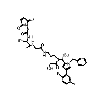 CC(C)C(NC(=O)CN1C(=O)C=CC1=O)C(=O)NCC(=O)NCCCN(C(=O)CO)[C@@H](c1cc(-c2cc(F)ccc2F)cn1Cc1ccccc1)C(C)(C)C